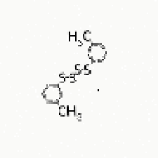 Cc1cccc(SSSSc2cccc(C)c2)c1